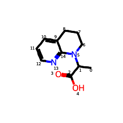 CC(C(=O)O)N1CCCc2cccnc21